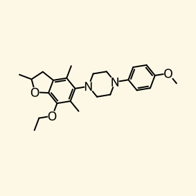 CCOc1c(C)c(N2CCN(c3ccc(OC)cc3)CC2)c(C)c2c1OC(C)C2